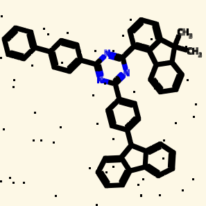 CC1(C)c2cccc(-c3nc(-c4ccc(-c5ccccc5)cc4)nc(-c4ccc(C5c6ccccc6-c6ccccc65)cc4)n3)c2C2C=CC=CC21